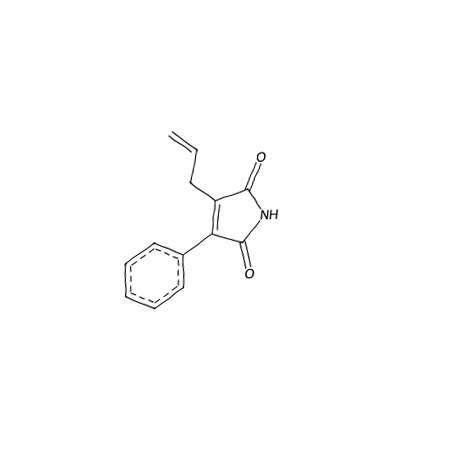 C=CCC1=C(c2ccccc2)C(=O)NC1=O